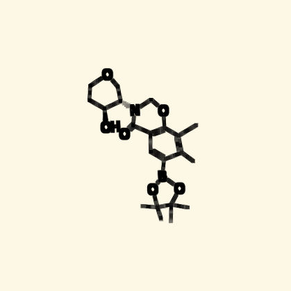 Cc1c(B2OC(C)(C)C(C)(C)O2)cc2c(c1C)OCN([C@H]1COCC[C@@H]1O)C2=O